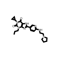 CCCn1c(=O)n(C2CC2)c(=O)c2[nH]c(-c3ccc(NCCN4CCCC4)nc3)nc21